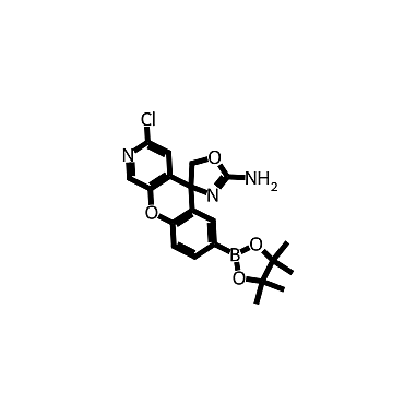 CC1(C)OB(c2ccc3c(c2)C2(COC(N)=N2)c2cc(Cl)ncc2O3)OC1(C)C